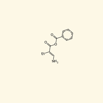 CCC(=CN)C(=O)OC(=O)c1ccccc1